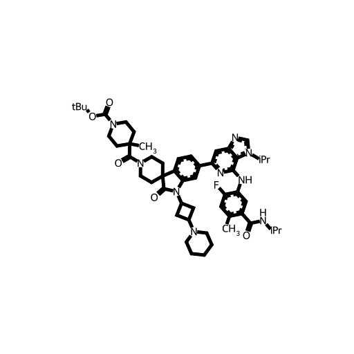 Cc1cc(F)c(Nc2nc(-c3ccc4c(c3)N(C3CC(N5CCCCC5)C3)C(=O)C43CCN(C(=O)C4(C)CCN(C(=O)OC(C)(C)C)CC4)CC3)cc3ncn(C(C)C)c23)cc1C(=O)NC(C)C